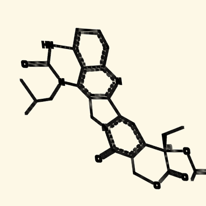 CC[C@@]1(OC(C)=O)C(=O)OCc2c1cc1n(c2=O)Cc2c-1nc1cccc3c1c2N(CC(C)C)C(=O)N3